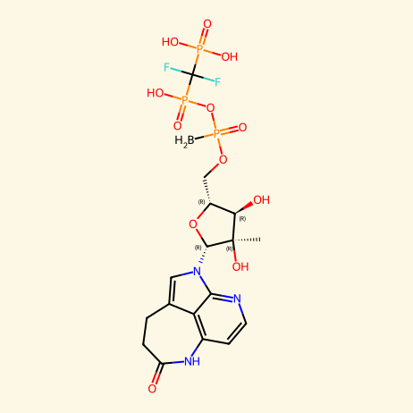 BP(=O)(OC[C@H]1O[C@@H](n2cc3c4c(ccnc42)NC(=O)CC3)[C@](C)(O)[C@@H]1O)OP(=O)(O)C(F)(F)P(=O)(O)O